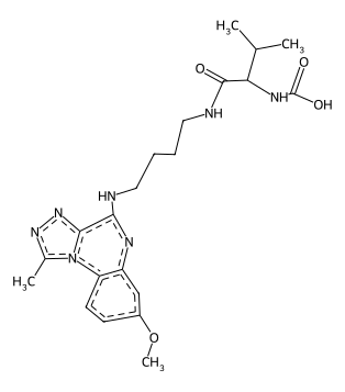 COc1ccc2c(c1)nc(NCCCCNC(=O)C(NC(=O)O)C(C)C)c1nnc(C)n12